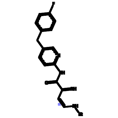 CCN/C=C\C(=N)C(=O)Nc1ccc(Cc2ccc(F)cc2)cn1